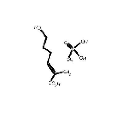 CC(=CCCCO)C(=O)O.O=P(O)(O)O